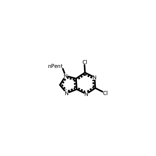 CCCCCn1cnc2nc(Cl)nc(Cl)c21